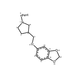 CCCCCN1CCC(COc2ccc3c(c2)OCO3)C1